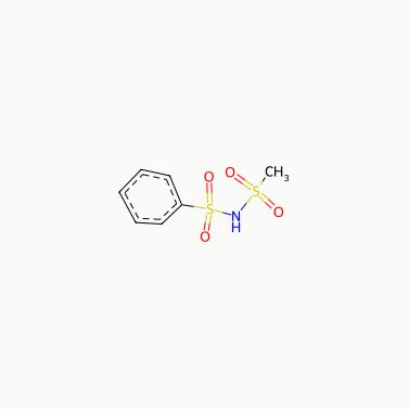 CS(=O)(=O)NS(=O)(=O)c1ccccc1